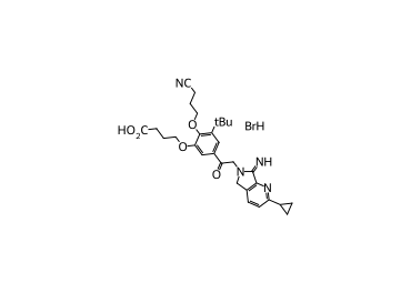 Br.CC(C)(C)c1cc(C(=O)CN2Cc3ccc(C4CC4)nc3C2=N)cc(OCCCC(=O)O)c1OCCCC#N